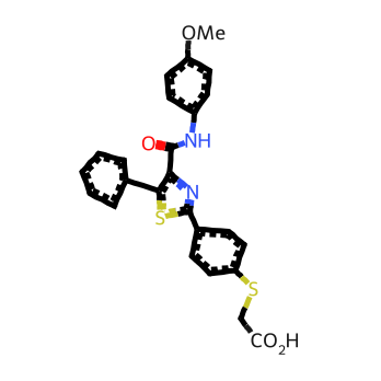 COc1ccc(NC(=O)c2nc(-c3ccc(SCC(=O)O)cc3)sc2-c2ccccc2)cc1